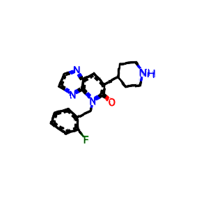 O=c1c(C2CCNCC2)cc2nccnc2n1Cc1ccccc1F